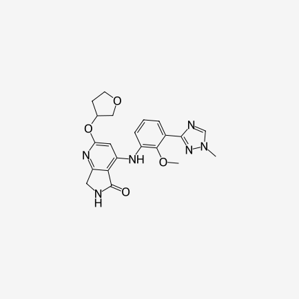 COc1c(Nc2cc(OC3CCOC3)nc3c2C(=O)NC3)cccc1-c1ncn(C)n1